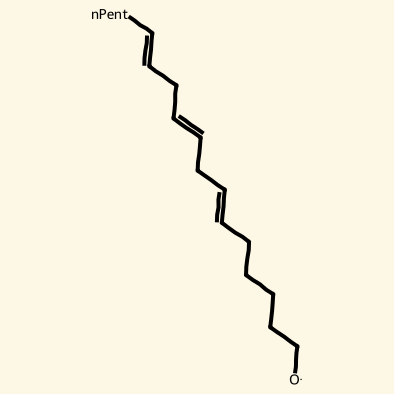 CCCCC/C=C/C/C=C/C/C=C/CCCCC[O]